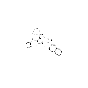 C/N=c1\sc([N+]2(C(=O)CCS(=O)(=O)c3ccc4cc(Cl)ccc4c3)CCCCC2)c(C(O)c2ccsc2)n1C